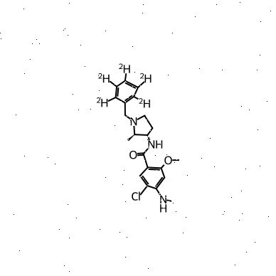 [2H]c1c([2H])c([2H])c(CN2CC[C@@H](NC(=O)c3cc(Cl)c(NC)cc3OC)[C@H]2C)c([2H])c1[2H]